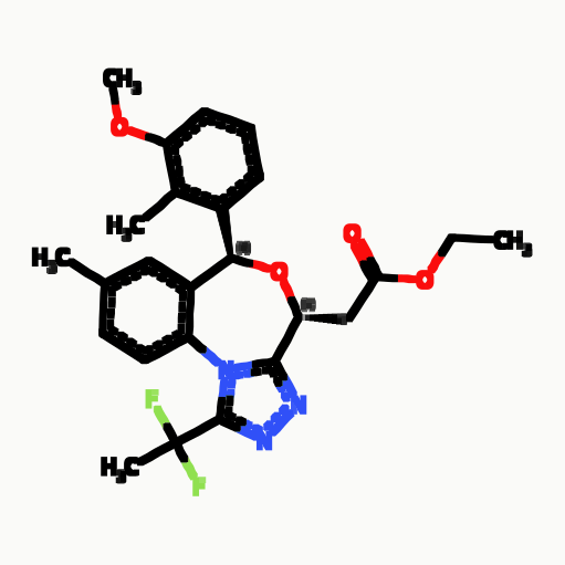 CCOC(=O)C[C@H]1O[C@H](c2cccc(OC)c2C)c2cc(C)ccc2-n2c1nnc2C(C)(F)F